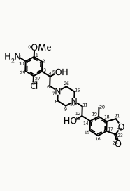 COc1cc(C(O)CN2CCN(CC(O)c3ccc4c(c3C)COC4=O)CC2)c(Cl)cc1N